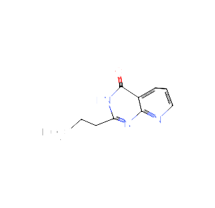 O=C(O)CCc1nc2ncccc2c(=O)[nH]1